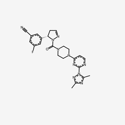 Cc1nc(C)n(-c2nccc(N3CCN(C(=O)N4N=CC[C@H]4c4cc(F)cc(C#N)c4)CC3)n2)n1